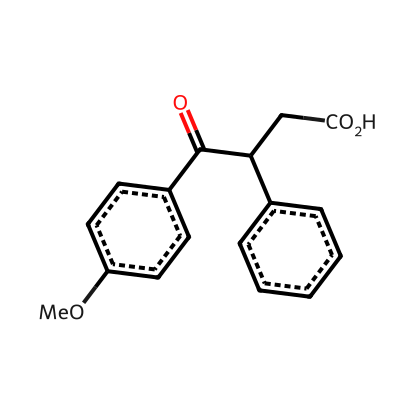 COc1ccc(C(=O)C(CC(=O)O)c2ccccc2)cc1